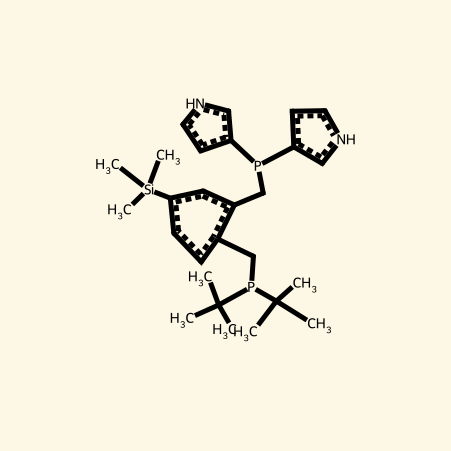 CC(C)(C)P(Cc1ccc([Si](C)(C)C)cc1CP(c1cc[nH]c1)c1cc[nH]c1)C(C)(C)C